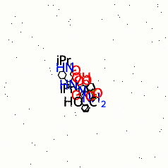 CC(=O)N(C(=O)[C@@H](N)Cc1ccccc1)[C@](CC(C)C)(C(=O)N[C@@H](CC1CCCCC1)[C@@H](O)CC(=O)NCC(C)C)C1COc2ccc(S(=O)(=O)CC(=O)O)cc21